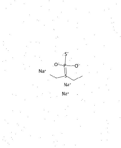 CCS(CC)=P([O-])([O-])[S-].[Na+].[Na+].[Na+]